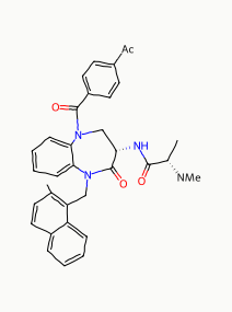 CN[C@@H](C)C(=O)N[C@H]1CN(C(=O)c2ccc(C(C)=O)cc2)c2ccccc2N(Cc2c(C)ccc3ccccc23)C1=O